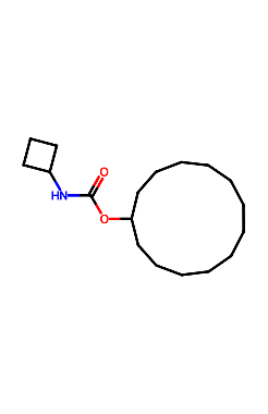 O=C(NC1CCC1)OC1CCCCCCCCCCCC1